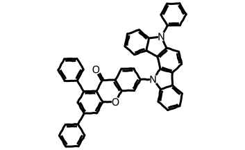 O=c1c2ccc(-n3c4ccccc4c4ccc5c(c6ccccc6n5-c5ccccc5)c43)cc2oc2cc(-c3ccccc3)cc(-c3ccccc3)c12